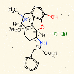 CO[C@@]12CC[C@H](N[C@@H](Cc3ccccc3)C(=O)O)[C@@H]3Oc4c(O)ccc5c4[C@@]31CCN(C)[C@@H]2C5.Cl.Cl